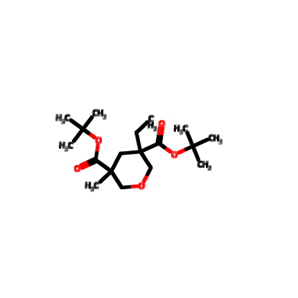 CCC1(C(=O)OC(C)(C)C)COCC(C)(C(=O)OC(C)(C)C)C1